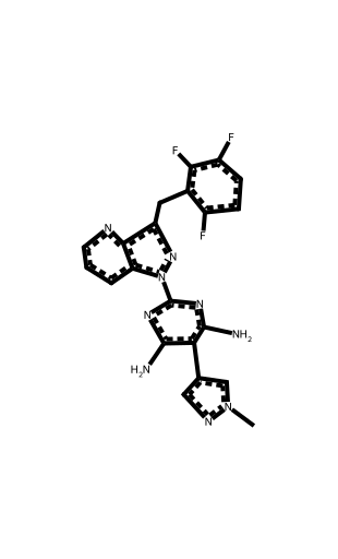 Cn1cc(-c2c(N)nc(-n3nc(Cc4c(F)ccc(F)c4F)c4ncccc43)nc2N)cn1